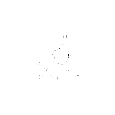 CC(C)(C)c1cc(P(=O)(O)O)on1.N.N